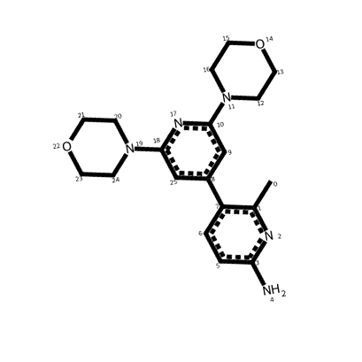 Cc1nc(N)ccc1-c1cc(N2CCOCC2)nc(N2CCOCC2)c1